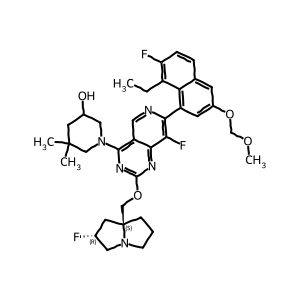 CCc1c(F)ccc2cc(OCOC)cc(-c3ncc4c(N5CC(O)CC(C)(C)C5)nc(OC[C@@]56CCCN5C[C@H](F)C6)nc4c3F)c12